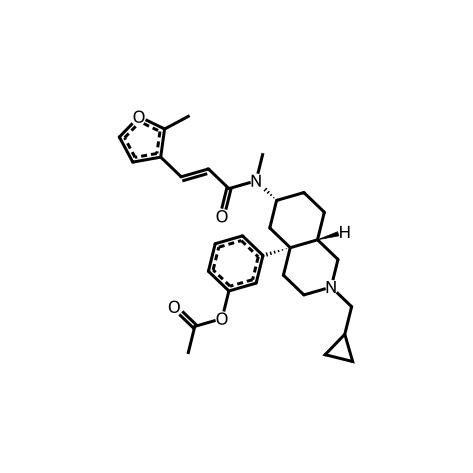 CC(=O)Oc1cccc([C@@]23CCN(CC4CC4)C[C@H]2CC[C@@H](N(C)C(=O)/C=C/c2ccoc2C)C3)c1